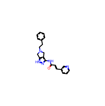 O=C(C=Cc1cccnc1)Nc1n[nH]c2c1CN(CCc1ccccc1)C2